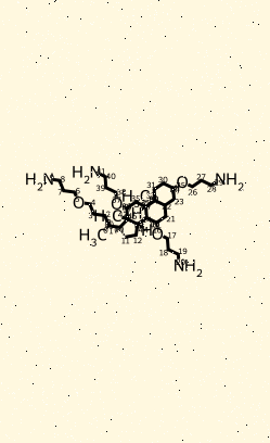 C[C@H](CCCOCCCN)[C@H]1CC[C@H]2C3[C@H](OCCCN)CC4C[C@H](OCCCN)CC[C@]4(C)[C@H]3C[C@H](OCCCN)C12C